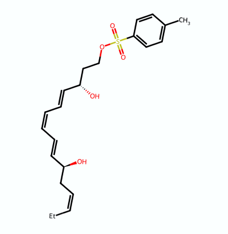 CC/C=C\C[C@H](O)/C=C/C=C\C=C\[C@@H](O)CCOS(=O)(=O)c1ccc(C)cc1